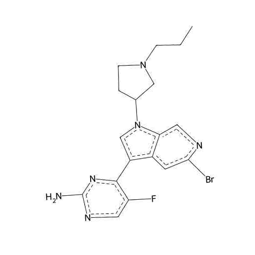 CCCN1CCC(n2cc(-c3nc(N)ncc3F)c3cc(Br)ncc32)C1